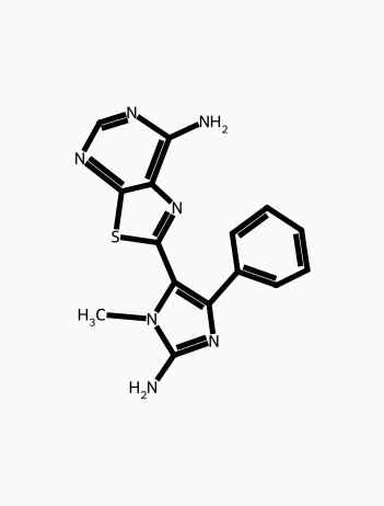 Cn1c(N)nc(-c2ccccc2)c1-c1nc2c(N)ncnc2s1